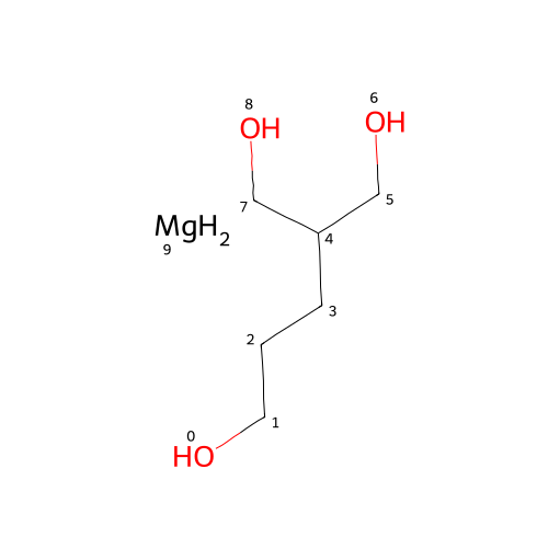 OCCCC(CO)CO.[MgH2]